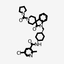 Cc1ncc(Cl)cc1C(=O)N[C@H]1CC[C@H](CN2C(=O)C3(CCN(C(=O)N4CCCC4)CC3)c3ccccc32)CC1